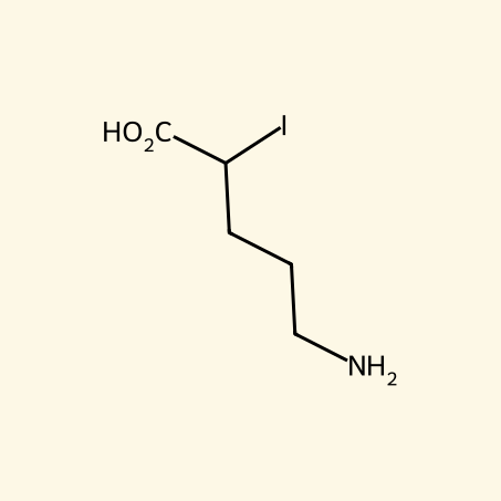 NCCCC(I)C(=O)O